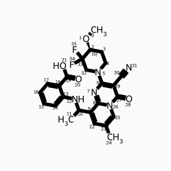 CO[C@H]1CCN(c2nc3c(C(C)Nc4ccccc4C(=O)O)cc(C)cn3c(=O)c2C#N)CC1(F)F